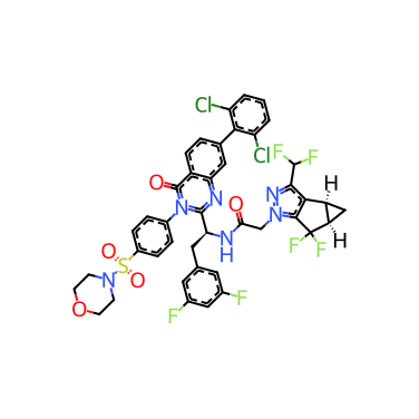 O=C(Cn1nc(C(F)F)c2c1C(F)(F)[C@@H]1C[C@H]21)N[C@@H](Cc1cc(F)cc(F)c1)c1nc2cc(-c3c(Cl)cccc3Cl)ccc2c(=O)n1-c1ccc(S(=O)(=O)N2CCOCC2)cc1